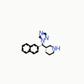 c1ccc2cc([C@@H]([C@H]3CCCNC3)n3cncn3)ccc2c1